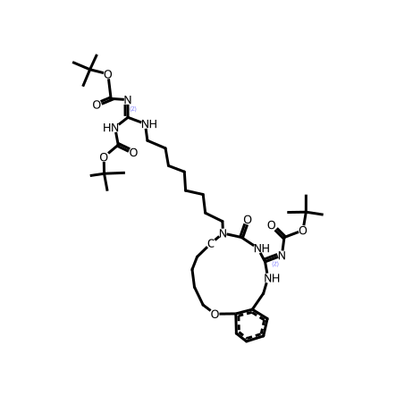 CC(C)(C)OC(=O)/N=C(/NCCCCCCCCN1CCCCCOc2ccccc2CN/C(=N/C(=O)OC(C)(C)C)NC1=O)NC(=O)OC(C)(C)C